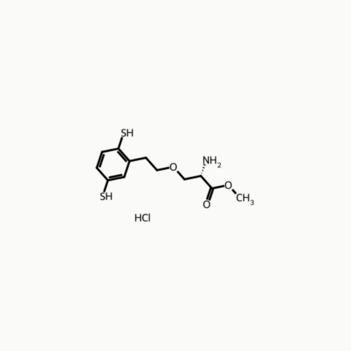 COC(=O)[C@@H](N)COCCc1cc(S)ccc1S.Cl